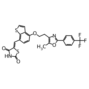 Cc1oc(-c2ccc(C(F)(F)F)cc2)nc1CCOc1ccc(C=C2SC(=O)NC2=O)c2sccc12